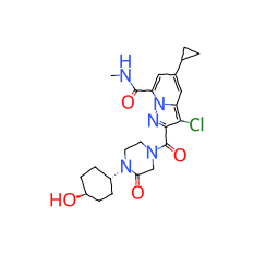 CNC(=O)c1cc(C2CC2)cc2c(Cl)c(C(=O)N3CCN([C@H]4CC[C@H](O)CC4)C(=O)C3)nn12